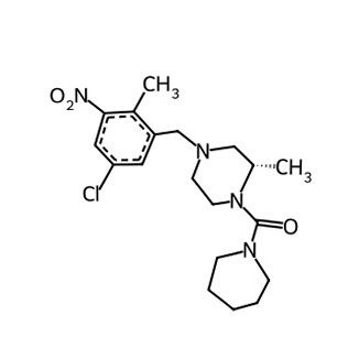 Cc1c(CN2CCN(C(=O)N3CCCCC3)[C@@H](C)C2)cc(Cl)cc1[N+](=O)[O-]